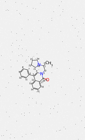 CC(Cn1cc(-c2ccccc2)c2ccccc2c1=O)N1CCCC1